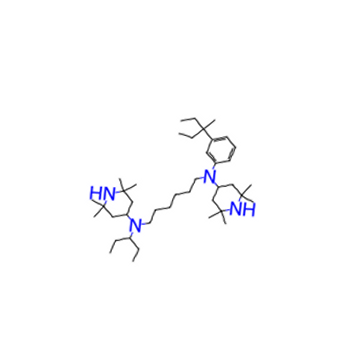 CCC(CC)N(CCCCCCN(c1cccc(C(C)(CC)CC)c1)C1CC(C)(C)NC(C)(C)C1)C1CC(C)(C)NC(C)(C)C1